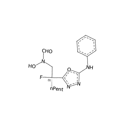 CCCCC[C@](F)(CN(O)C=O)c1nnc(Nc2ccccc2)o1